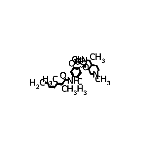 C=C/C=C\C(C)=C(/C)C(=O)Nc1cc(OC)c(S(=O)(=O)N[C@H](C)C2CCN(C)CC2)cc1C